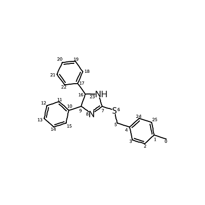 Cc1ccc(CSC2=NC(c3ccccc3)C(c3ccccc3)N2)cc1